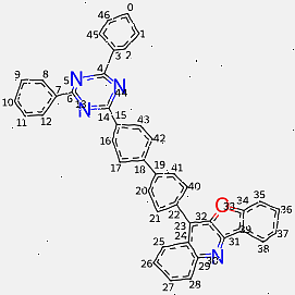 c1ccc(-c2nc(-c3ccccc3)nc(-c3ccc(-c4ccc(-c5c6ccccc6nc6c5oc5ccccc56)cc4)cc3)n2)cc1